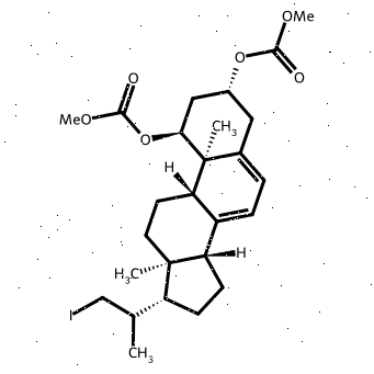 COC(=O)O[C@@H]1CC2=CC=C3[C@@H]4CC[C@H](C(C)CI)[C@@]4(C)CC[C@@H]3[C@@]2(C)[C@@H](OC(=O)OC)C1